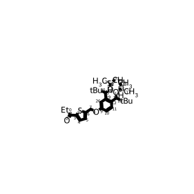 CCC(=O)c1ccc(COc2ccc(C(O[SiH](C)C)C(C)(C)C)c(C(O[SiH](C)C)C(C)(C)C)c2)s1